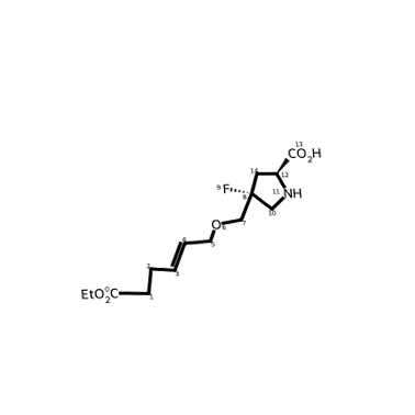 CCOC(=O)CC/C=C/COC[C@]1(F)CN[C@H](C(=O)O)C1